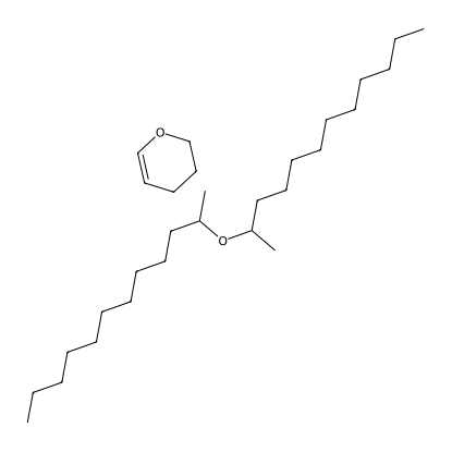 C1=COCCC1.CCCCCCCCCCC(C)OC(C)CCCCCCCCCC